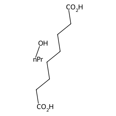 CCCO.O=C(O)CCCCCCC(=O)O